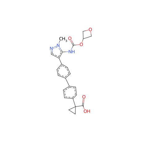 Cn1ncc(-c2ccc(-c3ccc(C4(C(=O)O)CC4)cc3)cc2)c1NC(=O)OC1COC1